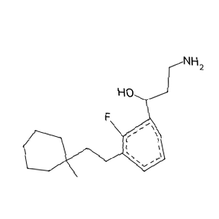 CC1(CCc2cccc(C(O)CCN)c2F)CCCCC1